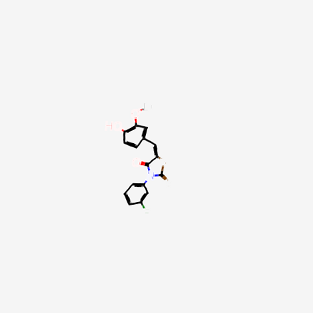 CCOc1cc(C=C2SC(=S)N(c3cccc(F)c3)C2=O)ccc1O